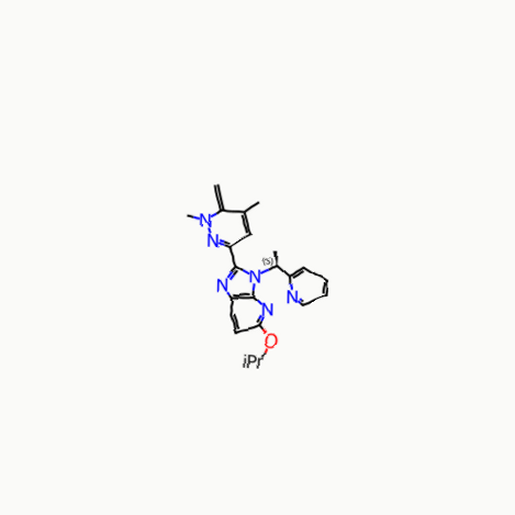 C=C1C(C)=CC(c2nc3ccc(OC(C)C)nc3n2[C@@H](C)c2ccccn2)=NN1C